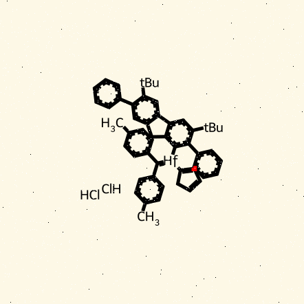 Cc1ccc([C](c2ccc(C)cc2)=[Hf]([C]2=CC=CC2)[c]2c3c(cc(C(C)(C)C)c2-c2ccccc2)-c2cc(C(C)(C)C)c(-c4ccccc4)cc2C3)cc1.Cl.Cl